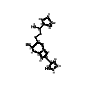 OC(CCc1cn2cc(-c3nnn[nH]3)nc2cc1Br)c1nnn[nH]1